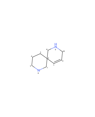 C1=CC2(CCC[N]C2)CNC1